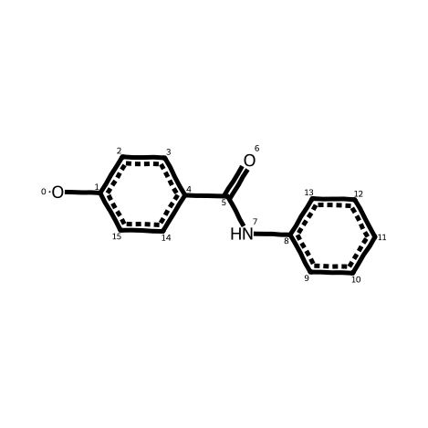 [O]c1ccc(C(=O)Nc2ccccc2)cc1